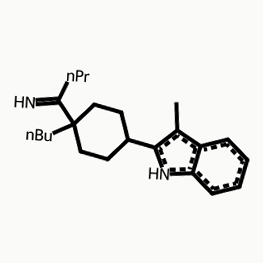 CCCCC1(C(=N)CCC)CCC(c2[nH]c3ccccc3c2C)CC1